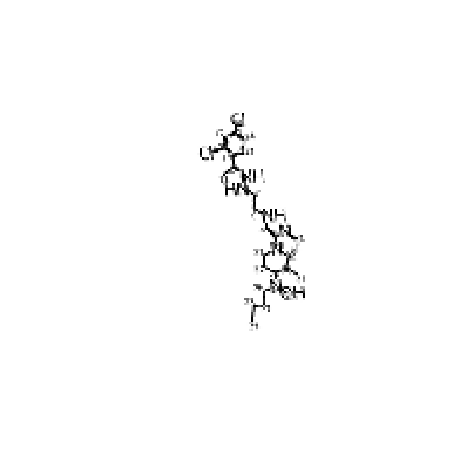 C/C=N\C(=C/NCCNNC(C)c1ccc(Cl)cc1Cl)N1CCC(N(O)CCCC)C(C)C1